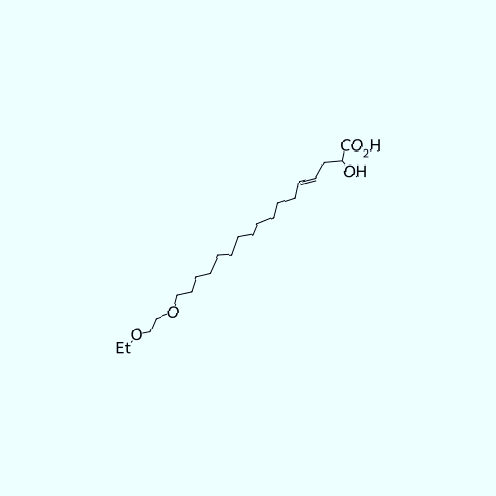 CCOCCOCCCCCCCCCCCCC=CCC(O)C(=O)O